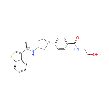 C[C@@H](NC1CC[C@H](c2ccc(C(=O)NCCO)cc2)C1)c1csc2ccccc12